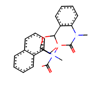 CN(C(=O)O[N+](C)(C(=O)[O-])c1cccc2ccccc12)c1ccccc1C1OCCO1